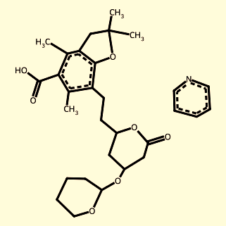 Cc1c(CCC2CC(OC3CCCCO3)CC(=O)O2)c2c(c(C)c1C(=O)O)CC(C)(C)O2.c1ccncc1